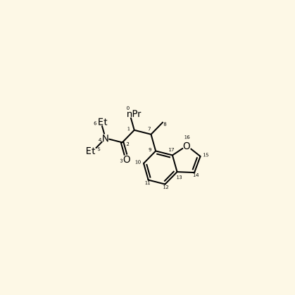 CCCC(C(=O)N(CC)CC)C(C)c1cccc2ccoc12